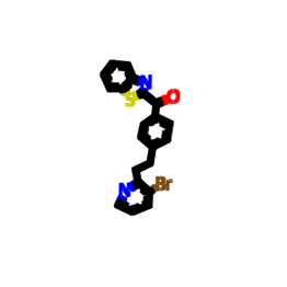 O=C(c1ccc(CCc2ncccc2Br)cc1)c1nc2ccccc2s1